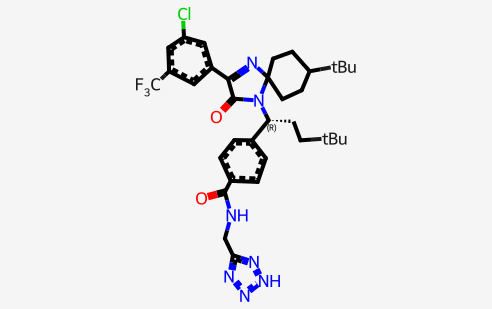 CC(C)(C)CC[C@H](c1ccc(C(=O)NCc2nn[nH]n2)cc1)N1C(=O)C(c2cc(Cl)cc(C(F)(F)F)c2)=NC12CCC(C(C)(C)C)CC2